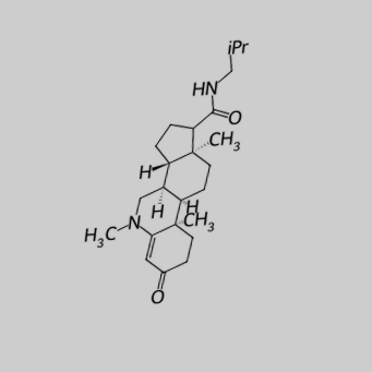 CC(C)CNC(=O)C1CC[C@H]2[C@@H]3CN(C)C4=CC(=O)CC[C@]4(C)[C@@H]3CC[C@]12C